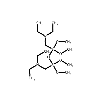 CCN(CC)C[Si](OC)(OC)O[Si](CN(CC)CC)(OC)OC